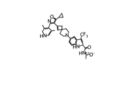 CC1=CNCC(C)=C1c1noc(C2CC2)c1C1=CC2(CCN(c3ccc4c(c3)C(C(F)(F)F)=CC(C(=O)N[S+](C)[O-])N4)CC2)C1